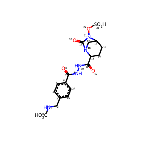 O=C(O)NCc1ccc(C(=O)NNC(=O)C2CCC3CN2C(=O)N3OS(=O)(=O)O)cc1